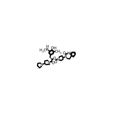 CBc1cc(C[C@@H](OC(=O)N2CCC(N3CCc4ccccc4NC3=O)CC2)C(=O)N2CCC(N3CCCCC3)CC2)cc(C)c1O